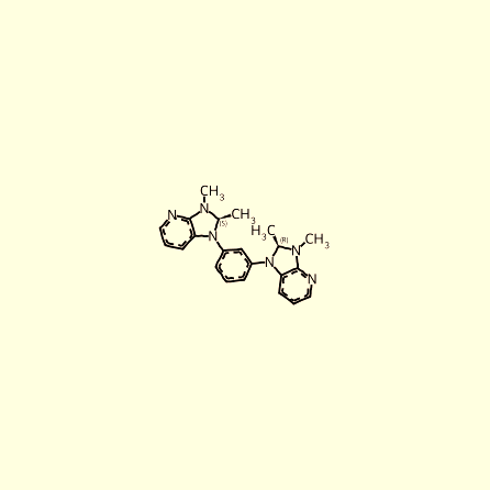 C[C@@H]1N(C)c2ncccc2N1c1cccc(N2c3cccnc3N(C)[C@@H]2C)c1